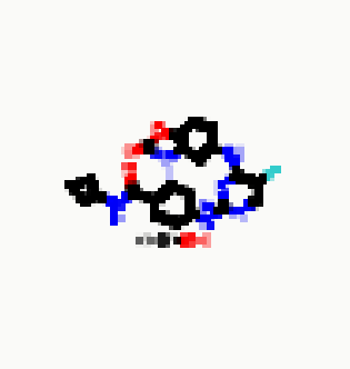 O=C(NC1CCC1)c1ccc(Nc2ncc(F)c(Nc3ccc4oc(=O)[nH]c4c3)n2)cc1.O=CO